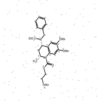 CCOC(=O)N(Cc1ccccc1)[C@H]1C[C@@H](C)N(C(=O)OCCOC)c2cc(OC)c(OC)cc21